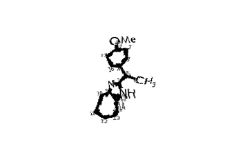 COc1ccc(C(C)c2nc3ccccc3[nH]2)cc1